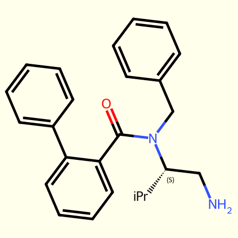 CC(C)[C@@H](CN)N(Cc1ccccc1)C(=O)c1ccccc1-c1ccccc1